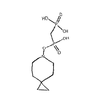 O=P(O)(O)CP(=O)(O)ON1CCC2(CC1)CC2